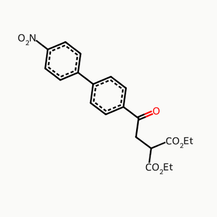 CCOC(=O)C(CC(=O)c1ccc(-c2ccc([N+](=O)[O-])cc2)cc1)C(=O)OCC